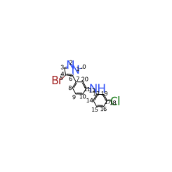 Cn1ncc(Br)c1-c1cccc(Nc2cccc(Cl)c2)c1